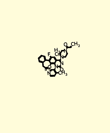 C=CC(=O)N1CCN(c2nc(=O)n(-c3c(C)ccnc3C(C)C)c3c4c(c(F)cc23)-c2ccccc2CCO4)[C@@H](C)C1